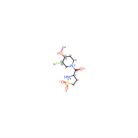 O=C(C1CCS(=O)(=O)N1)N1CC[C@H](OI)[C@H](F)C1